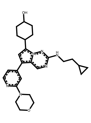 OC1CCC(c2cc(-c3ccnc(N4CCOCC4)c3)c3cnc(NCCC4CC4)nn23)CC1